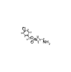 CC(OC(=O)N1CC(CN)C1)c1ccc(Cl)cc1